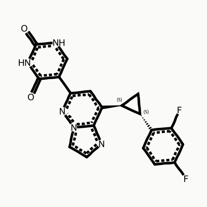 O=c1[nH]cc(-c2cc([C@H]3C[C@@H]3c3ccc(F)cc3F)c3nccn3n2)c(=O)[nH]1